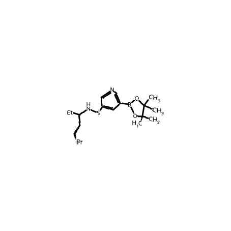 CCC(CCC(C)C)NSc1cncc(B2OC(C)(C)C(C)(C)O2)c1